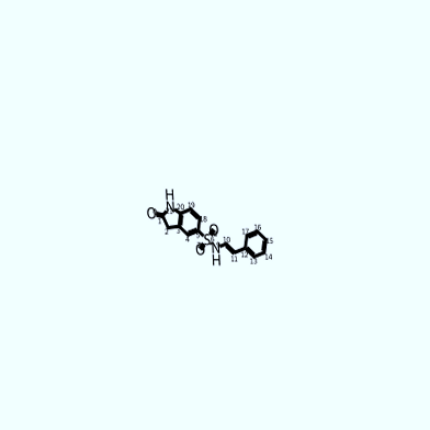 O=C1Cc2cc(S(=O)(=O)NC=Cc3ccccc3)ccc2N1